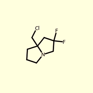 FC1(F)CN2CCCC2(CCl)C1